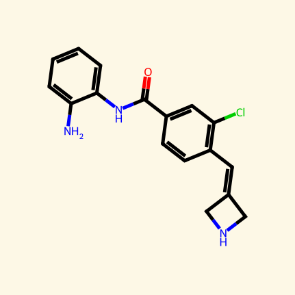 Nc1ccccc1NC(=O)c1ccc(C=C2CNC2)c(Cl)c1